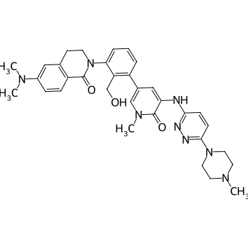 CN1CCN(c2ccc(Nc3cc(-c4cccc(N5CCc6cc(N(C)C)ccc6C5=O)c4CO)cn(C)c3=O)nn2)CC1